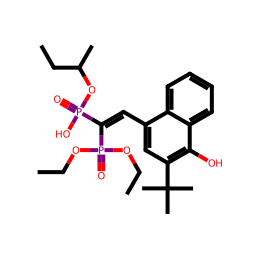 CCOP(=O)(OCC)C(=Cc1cc(C(C)(C)C)c(O)c2ccccc12)P(=O)(O)OC(C)CC